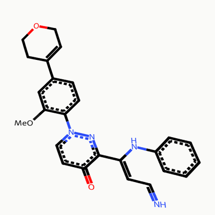 COc1cc(C2=CCOCC2)ccc1-n1ccc(=O)c(/C(=C/C=N)Nc2ccccc2)n1